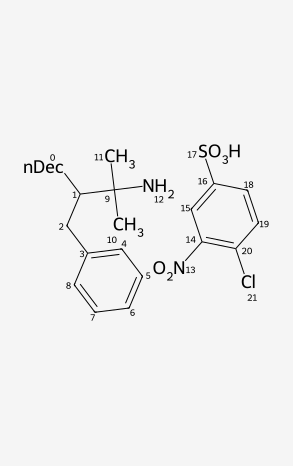 CCCCCCCCCCC(Cc1ccccc1)C(C)(C)N.O=[N+]([O-])c1cc(S(=O)(=O)O)ccc1Cl